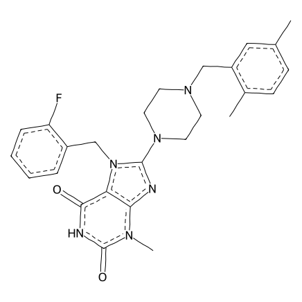 Cc1ccc(C)c(CN2CCN(c3nc4c(c(=O)[nH]c(=O)n4C)n3Cc3ccccc3F)CC2)c1